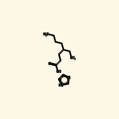 CCCCC(CC)CCC(=O)O.c1c[nH]cn1